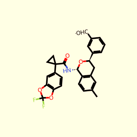 Cc1ccc2c(c1)C[C@H](c1cccc([C]=O)c1)O[C@H]2NC(=O)C1(c2ccc3c(c2)OC(F)(F)O3)CC1